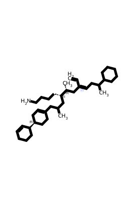 C=C/C(=C\CC(C)C1CCCCC1)C[C@@H](C)[C@@H](CCCCN)CC(C)CC1=CC[C@H](C2C=CCCC2)CC1